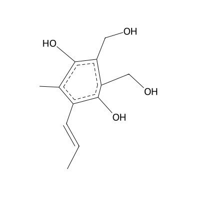 CC=Cc1c(C)c(O)c(CO)c(CO)c1O